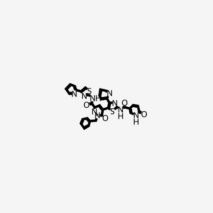 O=C(Nc1nc(-c2ccccn2)c(-c2cc(C(=O)Nc3nc(-c4ccccn4)cs3)nn(Cc3ccccc3)c2=O)s1)c1ccc(=O)[nH]c1